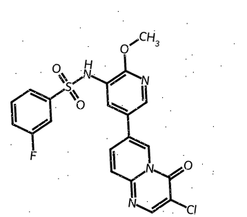 COc1ncc(-c2ccc3ncc(Cl)c(=O)n3c2)cc1NS(=O)(=O)c1cccc(F)c1